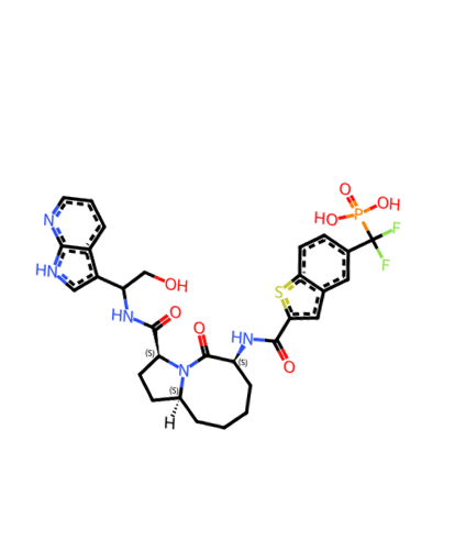 O=C(N[C@H]1CCCC[C@H]2CC[C@@H](C(=O)NC(CO)c3c[nH]c4ncccc34)N2C1=O)c1cc2cc(C(F)(F)P(=O)(O)O)ccc2s1